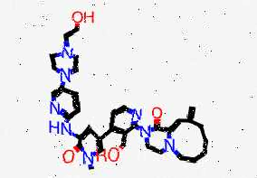 C=C1/C=C2/C(=O)N(c3nccc(-c4cc(Nc5ccc(N6CCN(CCO)CC6)cn5)c(=O)n(C)c4)c3CO)CCN2CCCCC1